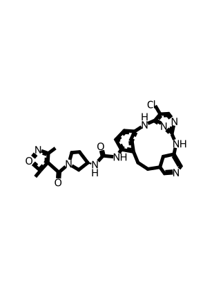 Cc1noc(C)c1C(=O)N1CC[C@H](NC(=O)Nc2ccc3cc2CCC2C=NC=C(C2)Nc2ncc(Cl)c(n2)N3)C1